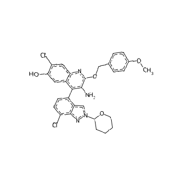 COc1ccc(COc2nc3cc(Cl)c(O)cc3c(-c3ccc(Cl)c4nn(C5CCCCO5)cc34)c2N)cc1